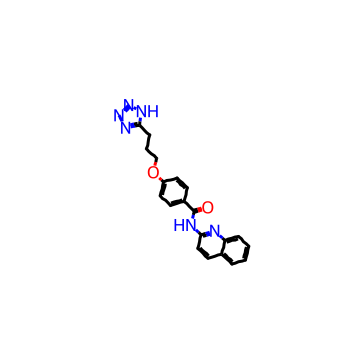 O=C(Nc1ccc2ccccc2n1)c1ccc(OCCCc2nnn[nH]2)cc1